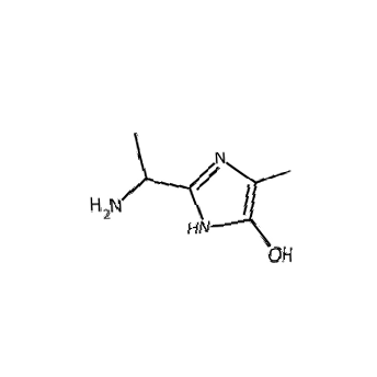 Cc1nc(C(C)N)[nH]c1O